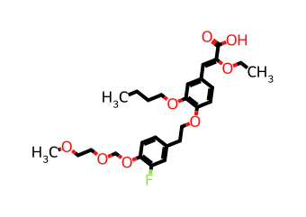 CCCCOc1cc(C=C(OCC)C(=O)O)ccc1OCCc1ccc(OCOCCOC)c(F)c1